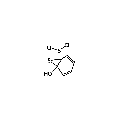 ClSCl.OC12C=CC=CC1S2